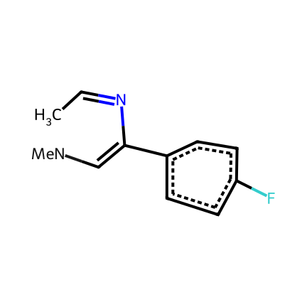 C/C=N\C(=C/NC)c1ccc(F)cc1